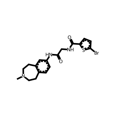 CN1CCc2ccc(NC(=O)CNC(=O)c3ccc(Br)s3)cc2CC1